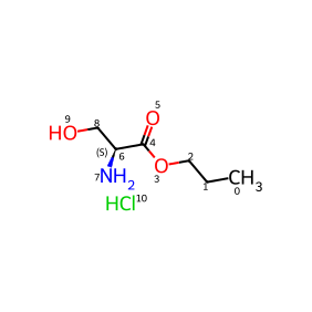 CCCOC(=O)[C@@H](N)CO.Cl